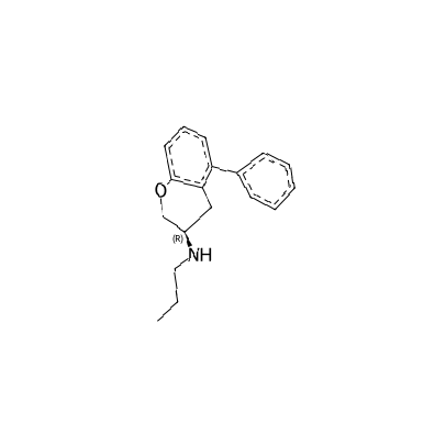 CCCN[C@H]1COc2cccc(-c3ccccc3)c2C1